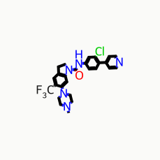 CN1CCN(c2cc3c(cc2C(F)(F)F)CCN3C(=O)Nc2ccc(-c3ccncc3)c(Cl)c2)CC1